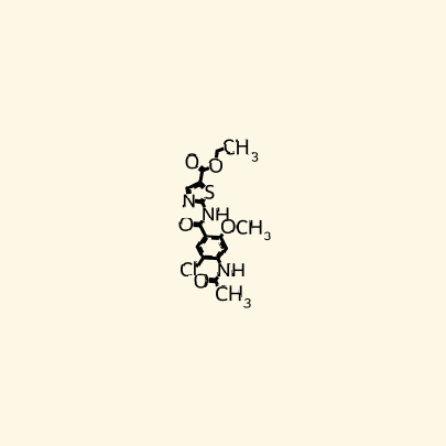 CCOC(=O)c1cnc(NC(=O)c2cc(Cl)c(NC(C)=O)cc2OC)s1